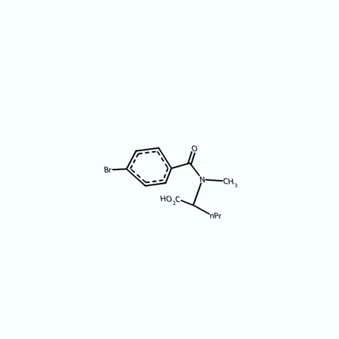 CCCC(C(=O)O)N(C)C(=O)c1ccc(Br)cc1